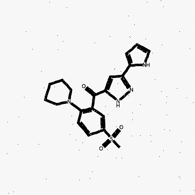 CS(=O)(=O)c1ccc(N2CCCCC2)c(C(=O)c2cc(-c3ccc[nH]3)n[nH]2)c1